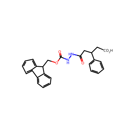 O=C(O)CC(CC(=O)NNC(=O)OCC1c2ccccc2-c2ccccc21)c1ccccc1